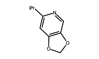 CC(C)c1cc2c(cn1)OCO2